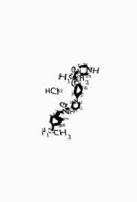 CC(C)c1ccc(CNC(=O)[C@H]2CCCN(c3cccc(OC(C)(C)C(=O)N4CCNCC4)c3)C2)cc1.Cl